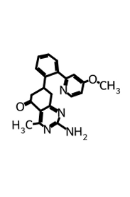 COc1ccnc(-c2ccccc2C2CC(=O)c3c(C)nc(N)nc3C2)c1